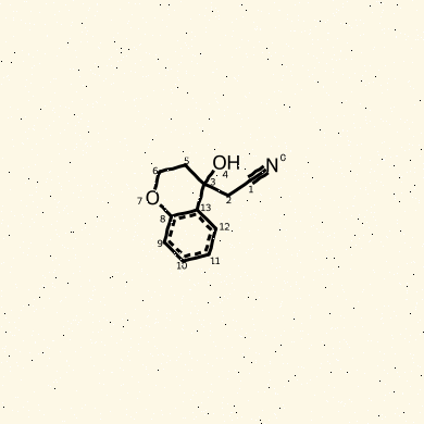 N#CCC1(O)CCOc2ccccc21